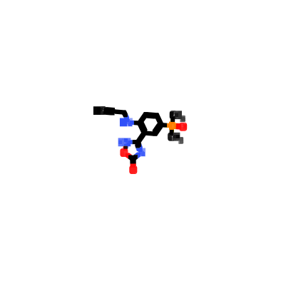 C#CCNc1ccc(P(C)(C)=O)cc1-c1nc(=O)o[nH]1